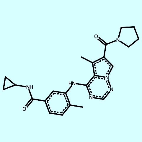 Cc1ccc(C(=O)NC2CC2)cc1Nc1ncnn2cc(C(=O)N3CCCC3)c(C)c12